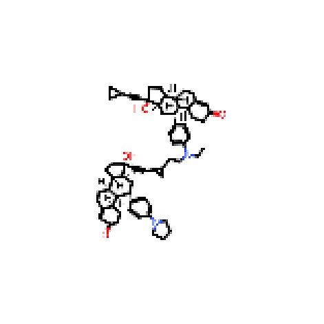 CCN(CCC1CC1C#C[C@]1(O)CC[C@H]2[C@@H]3CCC4=CC(=O)CC[C@@H]4[C@H]3[C@@H](c3ccc(N4CCCC4)cc3)C[C@@]21C)c1ccc([C@H]2C[C@@]3(C)[C@@H](CC[C@@]3(O)C#CC3CC3)[C@@H]3CCC4=CC(=O)CC[C@@H]4[C@H]32)cc1